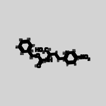 O=C(NC(CCc1ccc([N+](=O)[O-])cn1)C(=O)O)OCc1ccccc1